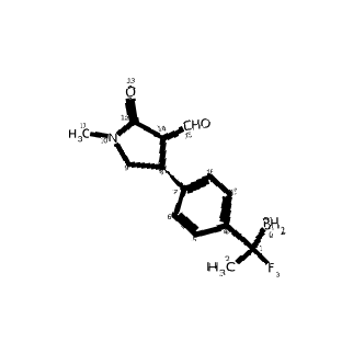 BC(C)(F)c1ccc([C@H]2CN(C)C(=O)C2C=O)cc1